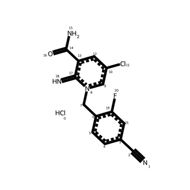 Cl.N#Cc1ccc(Cn2cc(Cl)cc(C(N)=O)c2=N)c(F)c1